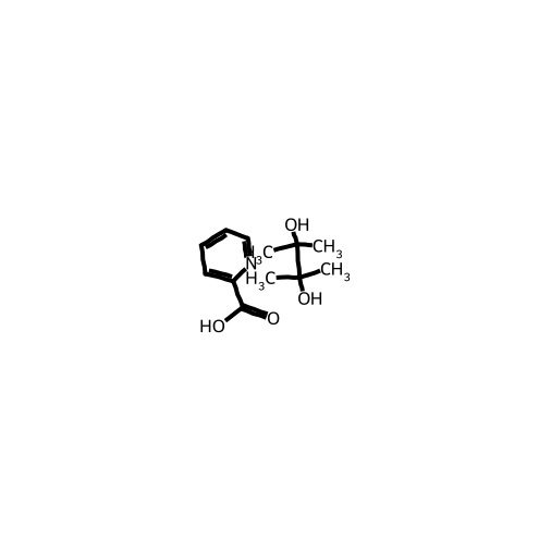 CC(C)(O)C(C)(C)O.O=C(O)c1ccccn1